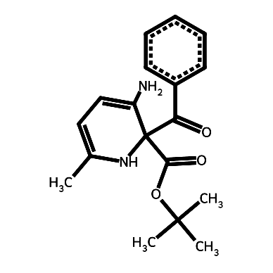 CC1=CC=C(N)C(C(=O)OC(C)(C)C)(C(=O)c2ccccc2)N1